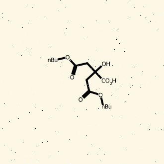 CCCCOC(=O)CC(O)(CC(=O)OCCCC)C(=O)O